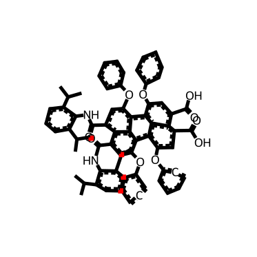 CC(C)c1cccc(C(C)C)c1NC(=O)c1cc(Oc2ccccc2)c2c3c(Oc4ccccc4)cc(C(=O)O)c4c(C(=O)O)cc(Oc5ccccc5)c(c5c(Oc6ccccc6)cc(C(=O)Nc6c(C(C)C)cccc6C(C)C)c1c25)c43